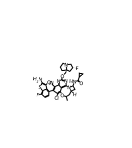 CC1C[C@H]2CC(NC(=O)C3CC3)N2c2nc(OC[C@@]34CCCN3C[C@H](F)C4)nc3c(F)c(-c4ccc(F)c5sc(N)c(C#N)c45)c(Cl)c(c23)O1